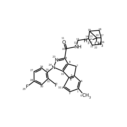 Cc1ccc2c(c1)Cc1c(C(=O)NCC3CCC4CC3C4(C)C)nn(-c3ccc(F)cc3F)c1-2